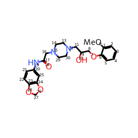 COc1ccccc1OCC(O)CN1CCN(CC(=O)Nc2ccc3c(c2)OCO3)CC1